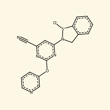 N#Cc1cc(N2Cc3ccccc3[S+]2[O-])nc(Oc2cccnc2)n1